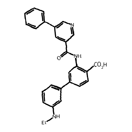 CCNc1cccc(-c2ccc(C(=O)O)c(NC(=O)c3cncc(-c4ccccc4)c3)c2)c1